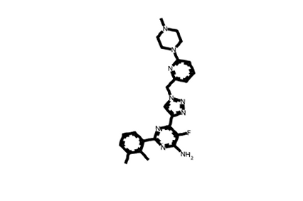 Cc1cccc(-c2nc(N)c(F)c(-c3cn(Cc4cccc(N5CCN(C)CC5)n4)nn3)n2)c1C